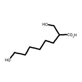 O=C(O)C(CO)CCCCCCO